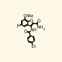 CCc1ccc(C(=O)Nc2c(C(N)=O)oc3c(OC)cc(F)cc23)cc1